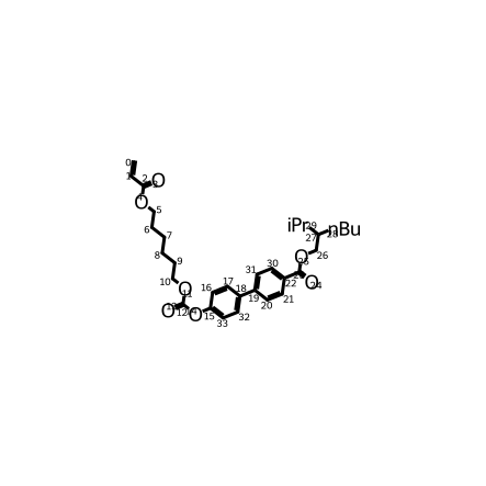 C=CC(=O)OCCCCCCOC(=O)Oc1ccc(-c2ccc(C(=O)OCC(CCCC)C(C)C)cc2)cc1